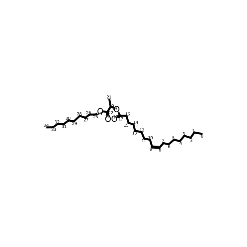 CCCCCCCC/C=C\CCCCCCCC(=O)OC(C)C(=O)OCCCCCCCCCC